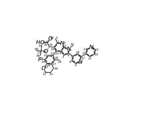 Cc1nc2c(cc(-c3ccnc(-c4cccnc4)c3)n2C)c(-c2cc(F)c3c(c2C)CCCO3)c1[C@H](OC(C)(C)C)C(=O)O